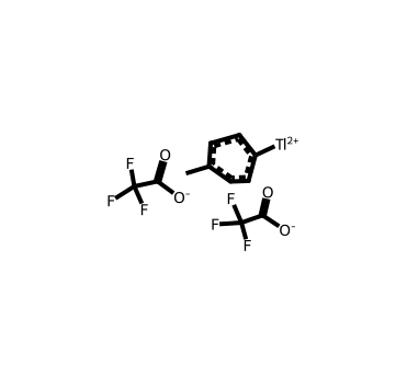 Cc1cc[c]([Tl+2])cc1.O=C([O-])C(F)(F)F.O=C([O-])C(F)(F)F